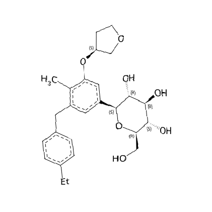 CCc1ccc(Cc2cc([C@@H]3O[C@H](CO)[C@@H](O)[C@H](O)[C@H]3O)cc(O[C@H]3CCOC3)c2C)cc1